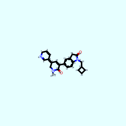 CC(C)N1CC(=C2C=CCN=C2)C=C(c2ccc3c(c2)CC(=O)N3CC2CCC2)C1=O